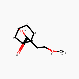 COCCC12CCC(CC1)OC2=O